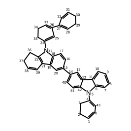 C1=CCCC(n2c3ccccc3c3cc(-c4ccc5c(c4)c4c(n5C5=CC(C6=CCCC=C6)=CCC5)CCC=C4)ccc32)=C1